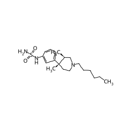 CCCCCCN1CC[C@](C)(c2cccc(NS(N)(=O)=O)c2)[C@@H](C)C1